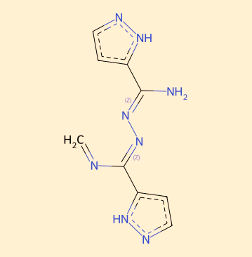 C=N/C(=N\N=C(/N)c1ccn[nH]1)c1ccn[nH]1